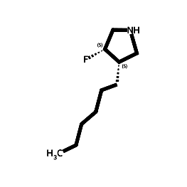 CCCCCC[C@H]1CNC[C@H]1F